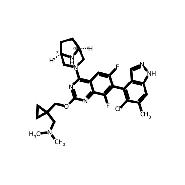 Cc1cc2[nH]ncc2c(-c2c(F)cc3c(N4C[C@H]5CC[C@@H](C4)N5)nc(OCC4(CN(C)C)CC4)nc3c2F)c1Cl